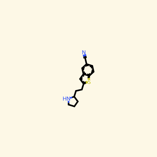 N#Cc1ccc2sc(CCC3CCCN3)cc2c1